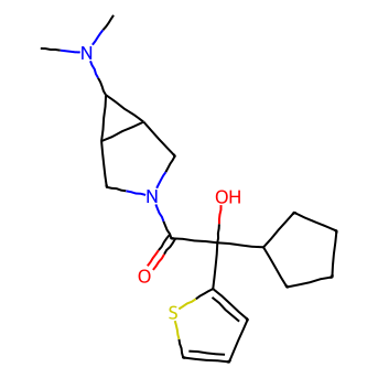 CN(C)C1C2CN(C(=O)C(O)(c3cccs3)C3CCCC3)CC21